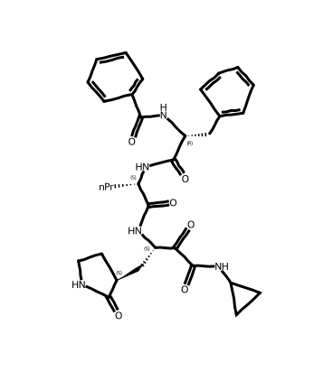 CCC[C@H](NC(=O)[C@@H](Cc1ccccc1)NC(=O)c1ccccc1)C(=O)N[C@@H](C[C@@H]1CCNC1=O)C(=O)C(=O)NC1CC1